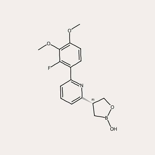 COc1ccc(-c2cccc([C@@H]3COB(O)C3)n2)c(F)c1OC